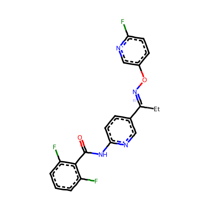 CC/C(=N\Oc1ccc(F)nc1)c1ccc(NC(=O)c2c(F)cccc2F)nc1